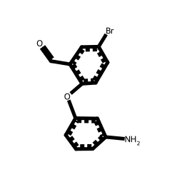 Nc1cccc(Oc2ccc(Br)cc2C=O)c1